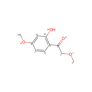 COCC(=O)c1ccc(OC)cc1O